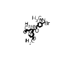 COc1ccn2c(C(C)=O)cc(C(=O)Nc3ccc4c(Br)nn(C)c4c3)c2c1